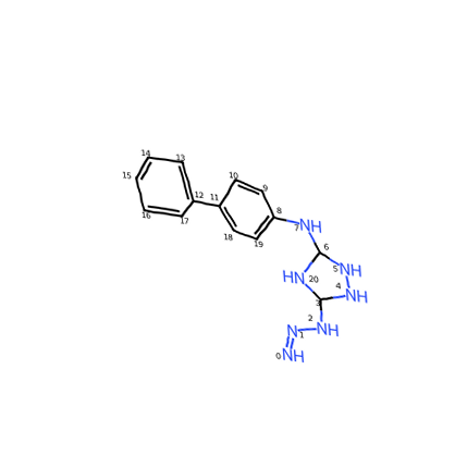 N=NNC1NNC(Nc2ccc(-c3ccccc3)cc2)N1